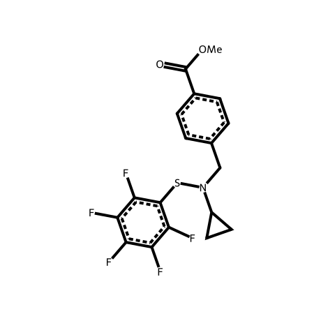 COC(=O)c1ccc(CN(Sc2c(F)c(F)c(F)c(F)c2F)C2CC2)cc1